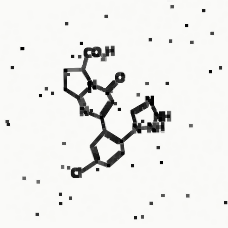 O=C(O)C1CCc2nc(-c3cc(Cl)ccc3N3C=NNN3)cc(=O)n21